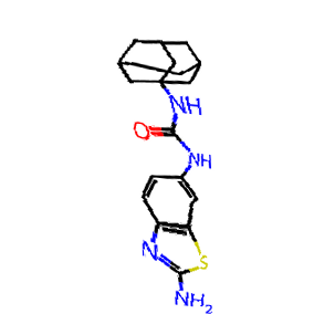 Nc1nc2ccc(NC(=O)NC34CC5CC(CC(C5)C3)C4)cc2s1